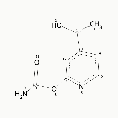 C[C@@H](O)c1ccnc(OC(N)=O)c1